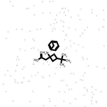 CC(C)(C)C1CC(N)(CC(=O)O)C1.c1cc2cc(c1)C2